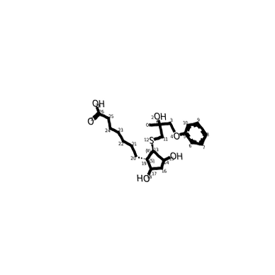 CC(O)(COc1ccccc1)CS[C@H]1C(O)CC(O)[C@@H]1CCCCCCC(=O)O